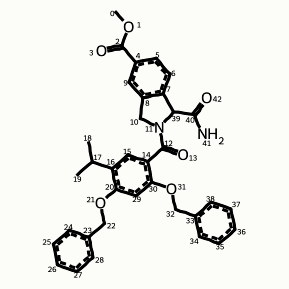 COC(=O)c1ccc2c(c1)CN(C(=O)c1cc(C(C)C)c(OCc3ccccc3)cc1OCc1ccccc1)C2C(N)=O